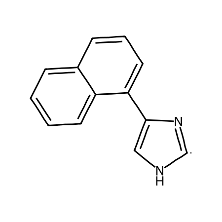 [c]1nc(-c2cccc3ccccc23)c[nH]1